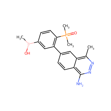 CB(O)c1ccc(P(C)(C)=O)c(-c2ccc3c(N)nnc(C)c3c2)c1